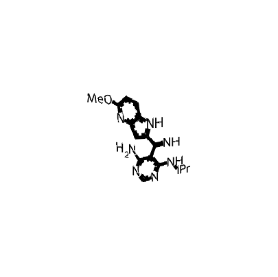 COc1ccc2[nH]c(C(=N)c3c(N)ncnc3NC(C)C)cc2n1